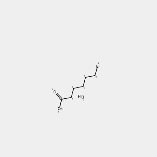 Cl.O=C(O)CCCCCBr